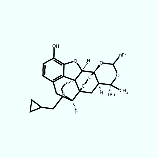 CCCC1O[C@]23CC[C@@]4(C[C@@H]2[C@@](C)(C(C)(C)C)O1)[C@H]1Cc2ccc(O)c5c2[C@@]4(CCN1CC1CC1)[C@H]3O5